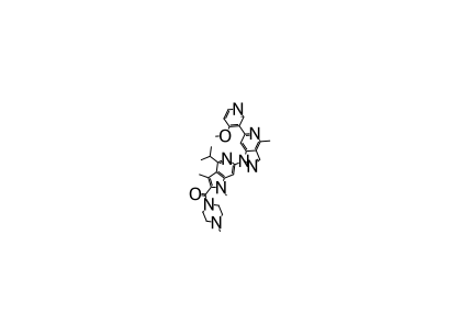 COc1ccncc1-c1cc2c(cnn2-c2cc3c(c(C(C)C)n2)c(C)c(C(=O)N2CCN(C)CC2)n3C)c(C)n1